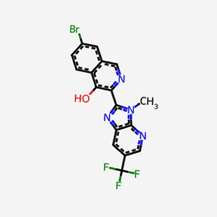 Cn1c(-c2ncc3cc(Br)ccc3c2O)nc2cc(C(F)(F)F)cnc21